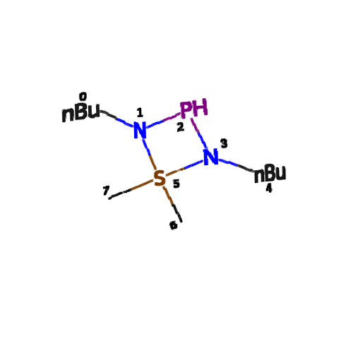 CCCCN1PN(CCCC)S1(C)C